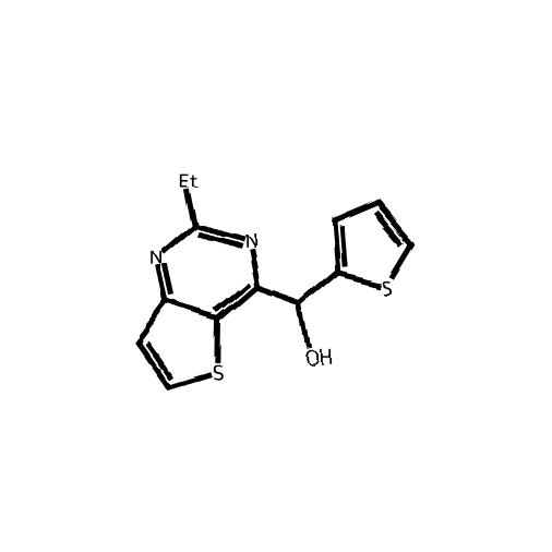 CCc1nc(C(O)c2cccs2)c2sccc2n1